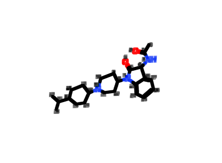 CC(=O)NC1C(=O)N(C2CCN(C3CCC(C(C)C)CC3)CC2)c2ccccc21